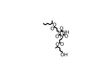 CCCCC(C)OC(=O)CCn1c(=O)[nH]c(=O)n(CCC(=O)OC(C)CCCO)c1=O